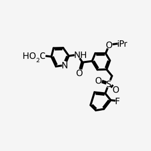 CC(C)Oc1cc(CS(=O)(=O)c2ccccc2F)cc(C(=O)Nc2ccc(C(=O)O)cn2)c1